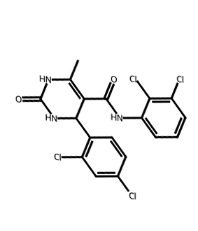 CC1=C(C(=O)Nc2cccc(Cl)c2Cl)C(c2ccc(Cl)cc2Cl)NC(=O)N1